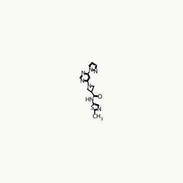 Cc1ncc(NC(=O)C2CN(c3cc(-n4cccn4)ncn3)C2)s1